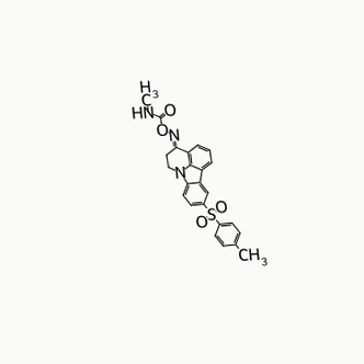 CNC(=O)O/N=C1\CCn2c3ccc(S(=O)(=O)c4ccc(C)cc4)cc3c3cccc1c32